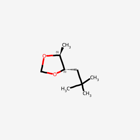 C[C@@H]1OCO[C@H]1CC(C)(C)C